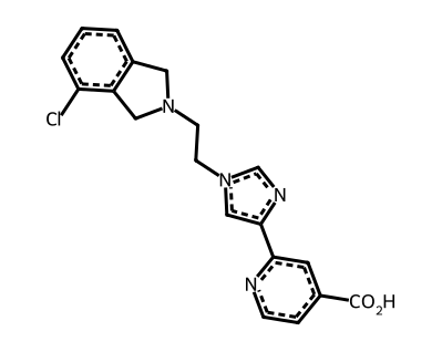 O=C(O)c1ccnc(-c2cn(CCN3Cc4cccc(Cl)c4C3)cn2)c1